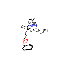 CCOC(=O)c1[nH]c(C)c(C(C)=O)c1CCCOCc1ccccc1